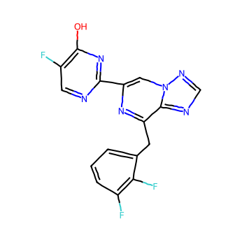 Oc1nc(-c2cn3ncnc3c(Cc3cccc(F)c3F)n2)ncc1F